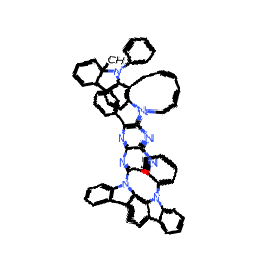 CC12C=CC=CC1c1ccc3c(c1N2c1ccccc1)C/C=C\C=C/CN3c1nc2ncc(-n3c4ccccc4c4ccc5c6ccccc6n(-c6ccccc6)c5c43)nc2nc1-c1ccccc1